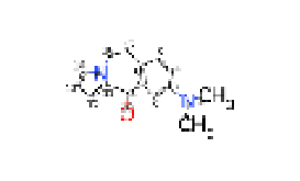 CN(C)c1ccc2c(c1)C(=O)c1cccn1CC2